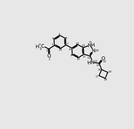 CC(=O)c1cccc(-c2ccc3c(NC(=O)C4CCC4)n[nH]c3c2)c1